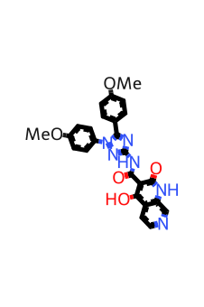 COc1ccc(-c2nc(NC(=O)c3c(O)c4ccncc4[nH]c3=O)nn2-c2ccc(OC)cc2)cc1